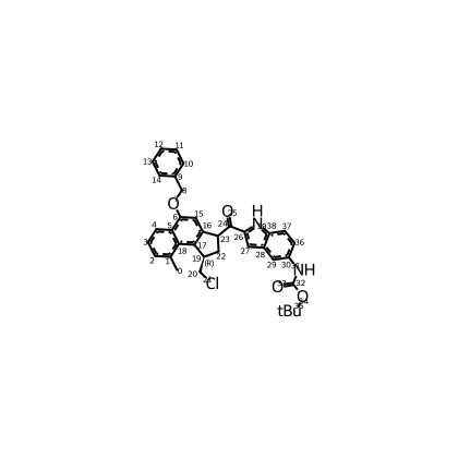 Cc1cccc2c(OCc3ccccc3)cc3c(c12)[C@H](CCl)CC3C(=O)c1cc2cc(NC(=O)OC(C)(C)C)ccc2[nH]1